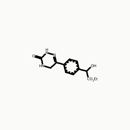 CCOC(=O)C(O)c1ccc(C2=NNC(=O)NC2)cc1